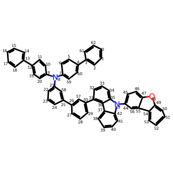 c1ccc(-c2ccc(N(c3ccc(-c4ccccc4)cc3)c3cccc(-c4cccc(-c5cccc6c5c5ccccc5n6-c5ccc6oc7ccccc7c6c5)c4)c3)cc2)cc1